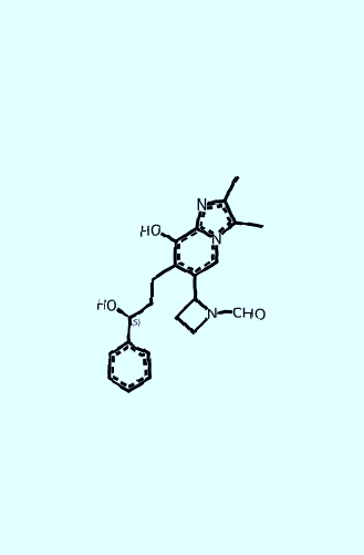 Cc1nc2c(O)c(CC[C@H](O)c3ccccc3)c(C3CCN3C=O)cn2c1C